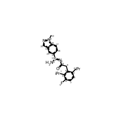 CC(C)c1ccc(F)c(C(C)C)c1CC(=O)/N=S(\N)c1ccc2c(cnn2C)c1